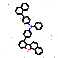 c1ccc(N(c2ccc(-c3cccc4ccccc34)cc2)c2ccc(-c3cccc4oc5c6ccccc6ccc5c34)cc2)cc1